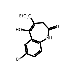 CCOC(=O)C1=C(O)c2cc(Br)ccc2NC(=O)C1